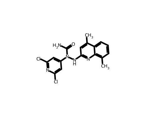 Cc1cc(NN(C(N)=O)c2cc(Cl)nc(Cl)c2)nc2c(C)cccc12